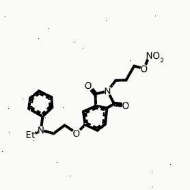 CCN(CCOc1ccc2c(c1)C(=O)N(CCCO[N+](=O)[O-])C2=O)c1ccccc1